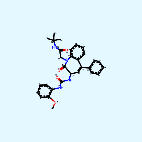 COc1ccccc1NC(=O)NC1C=C(c2ccccc2)c2ccccc2N(CC(=O)NC(C)(C)C)C1=O